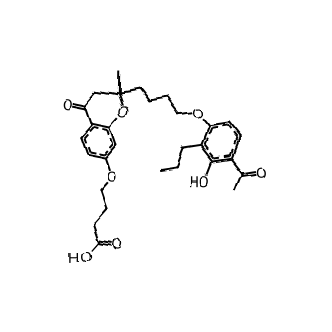 CCCc1c(OCCCCC2(C)CC(=O)c3ccc(OCCCC(=O)O)cc3O2)ccc(C(C)=O)c1O